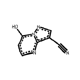 N#Cc1cnn2c(O)ccnc12